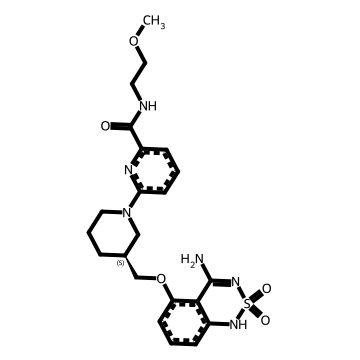 COCCNC(=O)c1cccc(N2CCC[C@H](COc3cccc4c3C(N)=NS(=O)(=O)N4)C2)n1